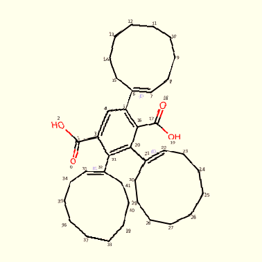 O=C(O)c1cc(/C2=C/CCCCCCCC2)c(C(=O)O)c(/C2=C/CCCCCCCC2)c1/C1=C/CCCCCCCC1